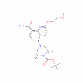 COCCOc1ccc2c(N3C[C@H](C)N(C(=O)OC(C)(C)C)[C@@H](C)C3)ccc(C(N)=O)c2n1